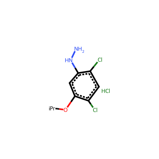 CC(C)Oc1cc(NN)c(Cl)cc1Cl.Cl